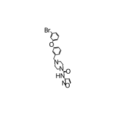 O=C(Nc1ccon1)N1CCN(Cc2cccc(Oc3cccc(Br)c3)c2)CC1